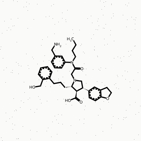 CCCCN(C(=O)CN1C[C@H](c2ccc3c(c2)CCO3)[C@@H](C(=O)O)[C@@H]1CCCc1ccccc1CO)c1cccc(CN)c1